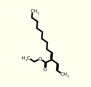 CC=CC(=CCCCCCCCC)C(=O)OCC